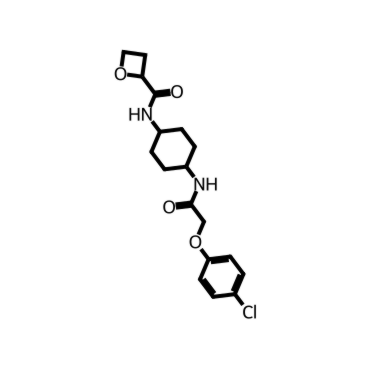 O=C(COc1ccc(Cl)cc1)NC1CCC(NC(=O)C2CCO2)CC1